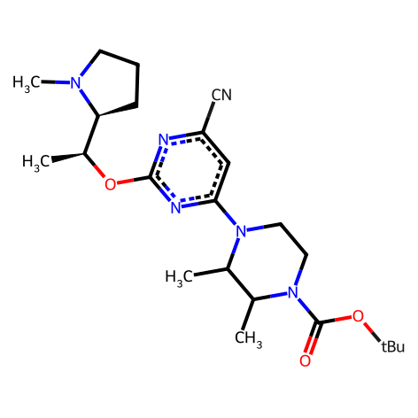 CC1C(C)N(c2cc(C#N)nc(O[C@@H](C)[C@@H]3CCCN3C)n2)CCN1C(=O)OC(C)(C)C